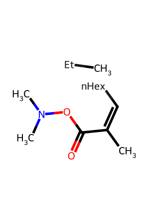 CCC.CCCCCCC=C(C)C(=O)ON(C)C